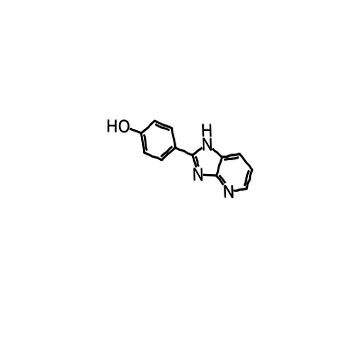 Oc1ccc(-c2nc3ncccc3[nH]2)cc1